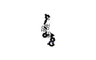 C=C1C=CSC(C#CCNC(=O)C(=O)NCc2ccccc2C(=O)NC2(c3ccc4/c(c3)=C\C(C)CCC/C=4)CC2)=C1